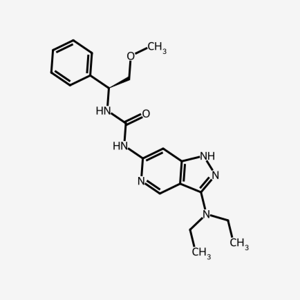 CCN(CC)c1n[nH]c2cc(NC(=O)N[C@H](COC)c3ccccc3)ncc12